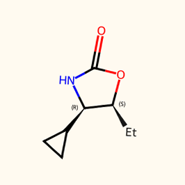 CC[C@@H]1OC(=O)N[C@@H]1C1CC1